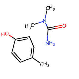 CN(C)C(N)=O.Cc1ccc(O)cc1